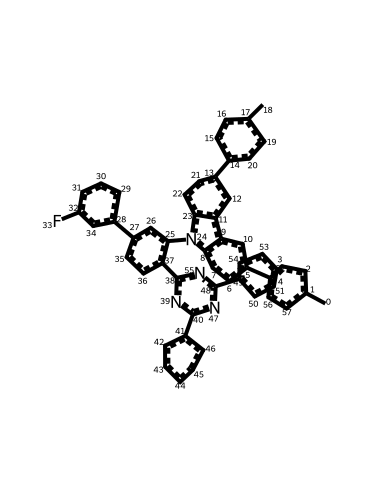 Cc1ccc(-c2ccc3c(c2)c2cc(-c4ccc(C)cc4)ccc2n3-c2cc(-c3cccc(F)c3)ccc2-c2nc(-c3ccccc3)nc(-c3ccccc3)n2)cc1